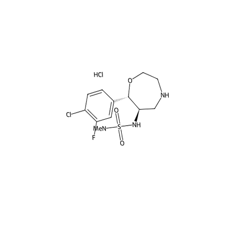 CNS(=O)(=O)N[C@@H]1CNCCO[C@H]1c1ccc(Cl)c(F)c1.Cl